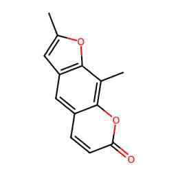 Cc1cc2cc3ccc(=O)oc3c(C)c2o1